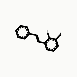 Ic1cccc(C=Cc2ccccc2)c1I